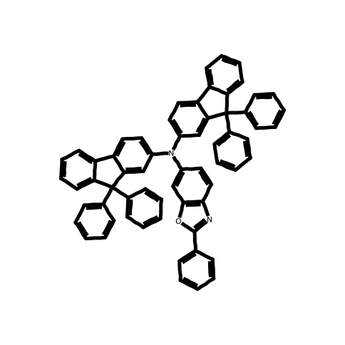 c1ccc(-c2nc3ccc(N(c4ccc5c(c4)C(c4ccccc4)(c4ccccc4)c4ccccc4-5)c4ccc5c(c4)C(c4ccccc4)(c4ccccc4)c4ccccc4-5)cc3o2)cc1